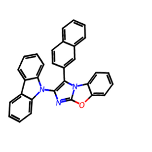 c1ccc2cc(-c3c(-n4c5ccccc5c5ccccc54)nc4oc5ccccc5n34)ccc2c1